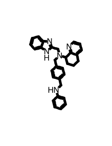 c1ccc(NCc2ccc(CN(Cc3nc4ccccc4[nH]3)C3CCCc4cccnc43)cc2)cc1